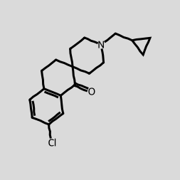 O=C1c2cc(Cl)ccc2CCC12CCN(CC1CC1)CC2